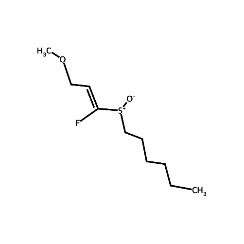 CCCCCC[S+]([O-])C(F)=CCOC